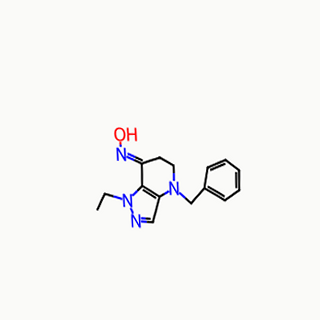 CCn1ncc2c1/C(=N/O)CCN2Cc1ccccc1